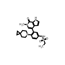 CCS(=O)(=O)Nc1ccc(N2CCC3(CC2)CC3)c(-c2cn(C)c(=O)c3[nH]ccc23)c1